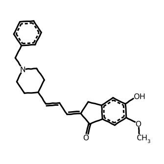 COc1cc2c(cc1O)CC(=CC=CC1CCN(Cc3ccccc3)CC1)C2=O